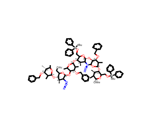 CO[C@H]1OC(CO[Si](c2ccccc2)(c2ccccc2)C(C)(C)C)[C@@H](O[C@@H]2OC(C)[C@@H](O[C@H]3OC(CO[Si](c4ccccc4)(c4ccccc4)C(C)(C)C)[C@@H](O[C@@H]4OC(C)C(O[C@@H]5OC(COC(C)=O)[C@@H](O[C@@H]6OC(C)[C@@H](C)[C@@H](OCc7ccccc7)C6C)[C@H](C)C5N=[N+]=[N-])[C@@H](OCc5ccccc5)C4C)[C@H](C)C3N=[N+]=[N-])[C@@H](OCc3ccccc3)C2C)[C@H](C)C1C